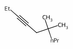 [CH2]CCC(C)(C)CC#CCC